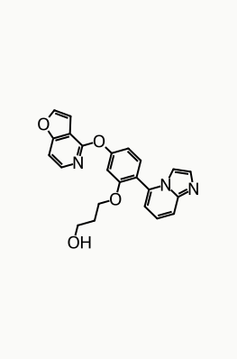 OCCCOc1cc(Oc2nccc3occc23)ccc1-c1cccc2nccn12